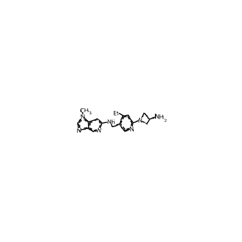 CCc1cc(N2CC(N)C2)ncc1CNc1cc2c(cn1)ncn2C